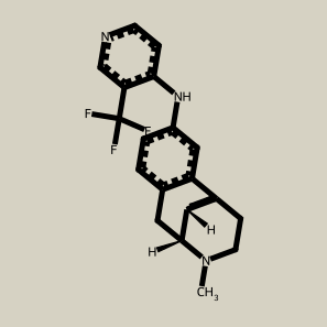 CN1CCC23CCCC[C@H]2[C@H]1Cc1ccc(Nc2ccncc2C(F)(F)F)cc13